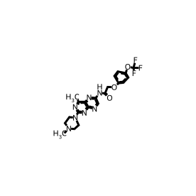 Cc1nc(N2CCN(C)CC2)nc2ncc(NC(=O)COc3ccc(OC(F)(F)F)cc3)nc12